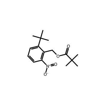 CC(C)(C)C(=O)OCc1c([N+](=O)[O-])cccc1C(C)(C)C